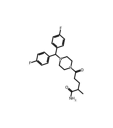 CC(CCC(=O)N1CCN(C(c2ccc(F)cc2)c2ccc(F)cc2)CC1)C(N)=O